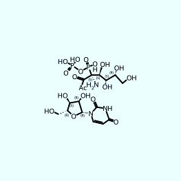 CC(=O)C(=O)[C@](N)([C@@H](O)[C@@H](O)[C@H](O)CO)P(=O)(O)OP(=O)(O)O.O=c1ccn([C@@H]2O[C@H](CO)[C@@H](O)[C@H]2O)c(=O)[nH]1